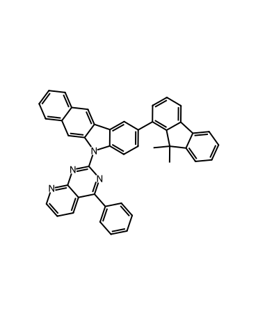 CC1(C)c2ccccc2-c2cccc(-c3ccc4c(c3)c3cc5ccccc5cc3n4-c3nc(-c4ccccc4)c4cccnc4n3)c21